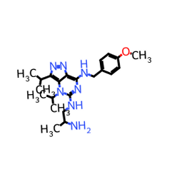 COc1ccc(CNc2nc(NCC(C)N)n(C(C)C)c3c(C(C)C)nnc2-3)cc1